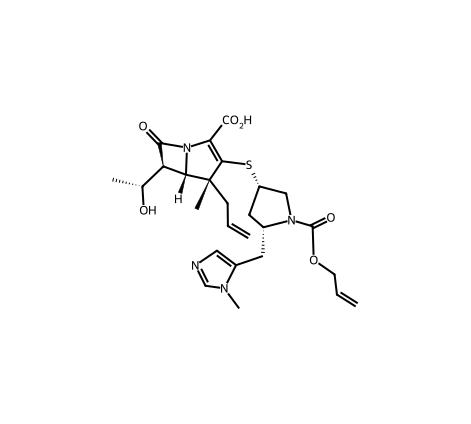 C=CCOC(=O)N1C[C@@H](SC2=C(C(=O)O)N3C(=O)[C@H]([C@@H](C)O)[C@H]3[C@@]2(C)CC=C)C[C@H]1Cc1cncn1C